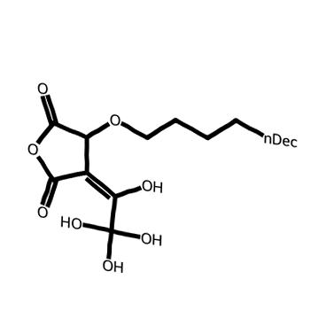 CCCCCCCCCCCCCCOC1C(=O)OC(=O)C1=C(O)C(O)(O)O